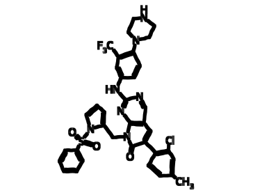 Cc1ccc(-c2cc3cnc(Nc4ccc(N5CCNCC5)c(C(F)(F)F)c4)nc3n(Cc3cccn3S(=O)(=O)c3ccccc3)c2=O)c(Cl)c1